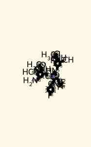 C#Cc1cc(CNC(=O)/C=C\c2ccc(C(F)(F)F)nc2Oc2ccc(F)cc2)cc(F)c1NS(C)(=O)=O.C=Cc1cc(CN)cc(F)c1NS(C)(=O)=O.Cl